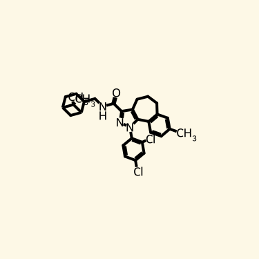 Cc1ccc2c(c1)CCCc1c(C(=O)NCC3CCC4CC3C4(C)C)nn(-c3ccc(Cl)cc3Cl)c1-2